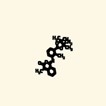 Cc1c(/N=c2\oc(=O)n(C)c3ccccc23)cccc1B1OC(C)(C)C(C)(C)O1